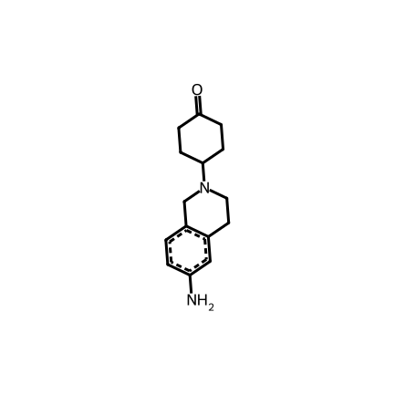 Nc1ccc2c(c1)CCN(C1CCC(=O)CC1)C2